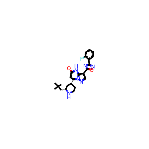 CC(C)(C)C[C@@H]1C[C@H](c2cc(=O)[nH]c3c(-c4nc(-c5ccccc5F)no4)cnn23)CCN1